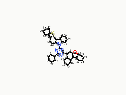 c1ccc(-c2nc(-c3cc4oc5ccccc5c4c4ccccc34)nc(-n3c4ccccc4c4c5sc6ccccc6c5ccc43)n2)cc1